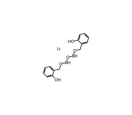 Oc1ccccc1COBOBOCc1ccccc1O.[Li]